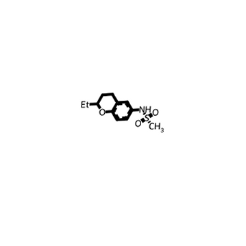 CCC1CCc2cc(NS(C)(=O)=O)ccc2O1